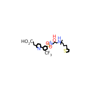 CN(CC(O)CNC(C)(C)CCCc1cccs1)S(=O)(=O)c1cc(-c2ccc(CCC(=O)O)cn2)cc(C(F)(F)F)c1